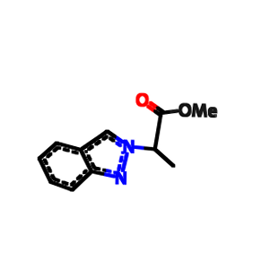 COC(=O)C(C)n1cc2ccccc2n1